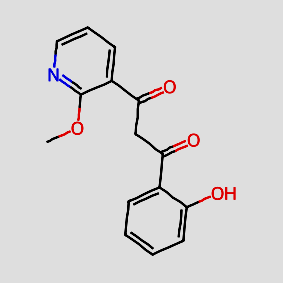 COc1ncccc1C(=O)CC(=O)c1ccccc1O